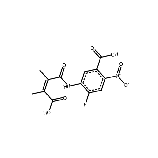 CC(C(=O)O)=C(C)C(=O)Nc1cc(C(=O)O)c([N+](=O)[O-])cc1F